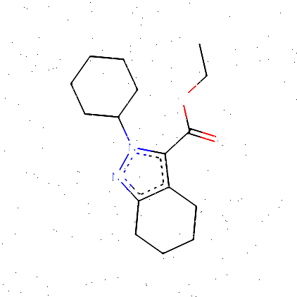 CCOC(=O)c1c2c(nn1C1CCCCC1)CCCC2